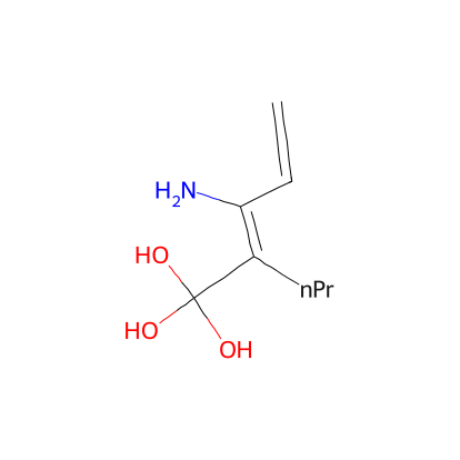 C=C/C(N)=C(\CCC)C(O)(O)O